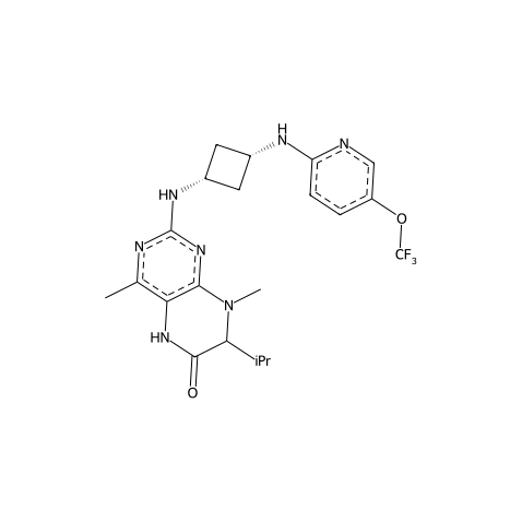 Cc1nc(N[C@H]2C[C@@H](Nc3ccc(OC(F)(F)F)cn3)C2)nc2c1NC(=O)C(C(C)C)N2C